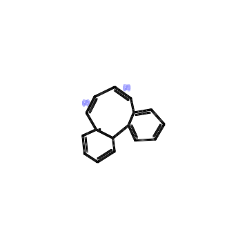 C1=C[C]2/C=C\C=C/c3ccccc3C2C=C1